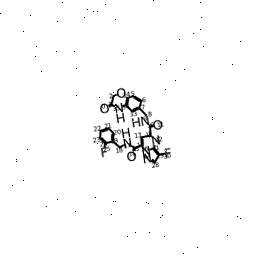 O=C1COc2ccc(CNC(=O)c3cc(C(=O)NCc4ccccc4F)n4ncc(F)c4n3)cc2N1